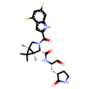 CC1(C)[C@@H]2[C@@H](C(=O)N[C@H](C=O)C[C@@H]3CCNC3=O)N(C(=O)c3cc4c(F)cc(F)cc4[nH]3)C[C@@H]21